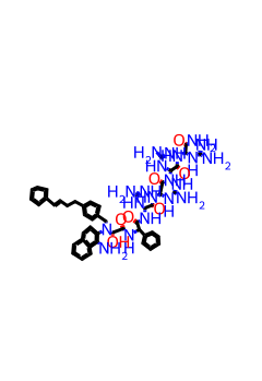 N=C(N)NC(NC(=O)C(NC(=N)N)NC(=O)C(NC(=N)N)NC(=O)C(NC(=N)N)NC(=O)C(NC(=O)C(O)N(Cc1ccc(CC/C=C/c2ccccc2)cc1)c1ccc2ccccc2c1N)c1ccccc1)C(N)=O